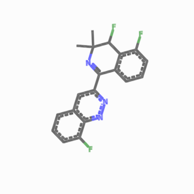 CC1(C)N=C(c2cc3cccc(F)c3nn2)c2cccc(F)c2C1F